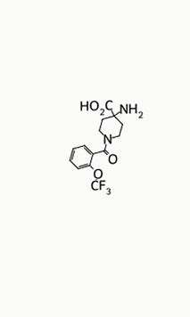 NC1(C(=O)O)CCN(C(=O)c2ccccc2OC(F)(F)F)CC1